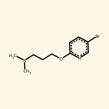 CN(C)CCCOc1ccc(Br)cn1